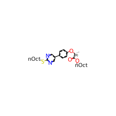 CCCCCCCCOC(=O)[C@@H](C)Oc1ccc(-c2cnc(SCCCCCCCC)nc2)cc1